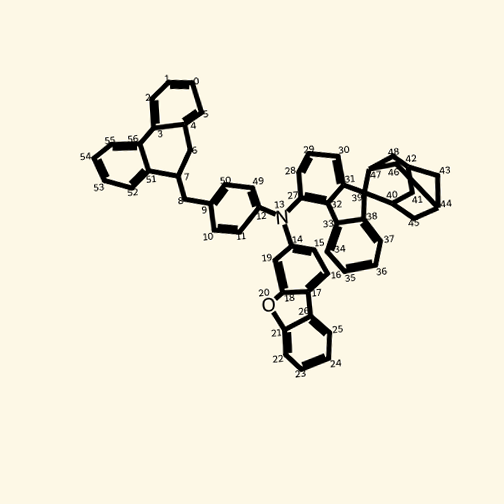 c1ccc2c(c1)CC(Cc1ccc(N(c3ccc4c(c3)oc3ccccc34)c3cccc4c3-c3ccccc3C43C4CC5CC(C4)CC3C5)cc1)c1ccccc1-2